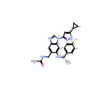 CC(=O)NCc1cc2ncn(-c3cc(C4CC4)[nH]n3)c2cc1N[C@@H](C)c1ccc(F)cc1